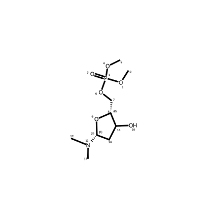 COP(=O)(OC)OC[C@H]1O[C@@H](N(C)C)CC1O